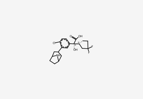 O=C(O)[C@](O)(c1ccc(Cl)c(C2CC3CCC(C2)N3)c1)[C@@H]1CCC(F)(F)C1